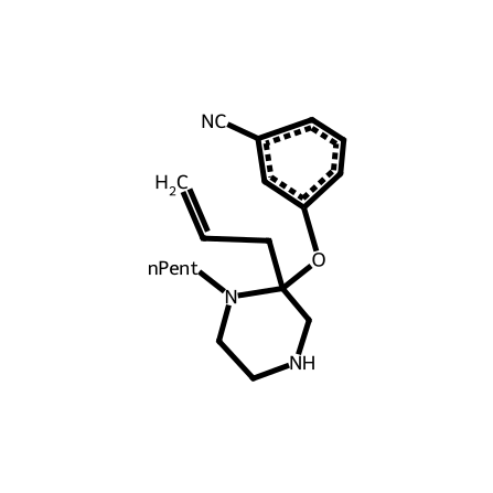 C=CCC1(Oc2cccc(C#N)c2)CNCCN1CCCCC